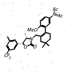 COc1ccc(N(C(C)=O)C(C)=O)cc1C1=C(CN2C(=O)O[C@H](c3cc(C)cc(C(F)(F)F)c3)[C@@H]2C)CC(C)(C)CC1